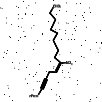 CCCCCC#CCC=C(CCCCCCC[C]=O)[N+](=O)[O-]